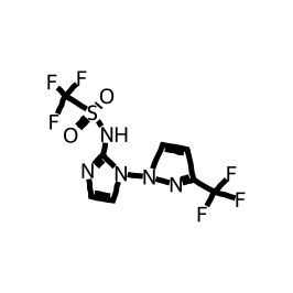 O=S(=O)(Nc1nccn1-n1ccc(C(F)(F)F)n1)C(F)(F)F